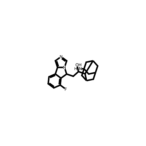 NC12CC3CC(C1)C(C(O)CC1c4c(F)cccc4-c4cncn41)C(C3)C2